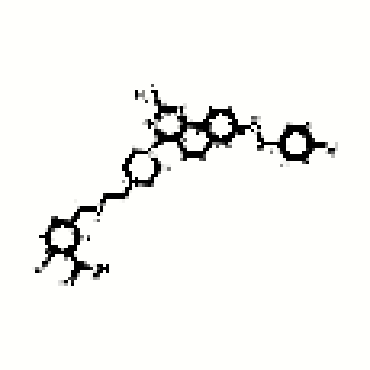 Nc1nc2c(c(N3CCN(CCOCc4ccc(F)c(C(=O)O)c4)CC3)n1)CCc1cc(OCc3ccc(Cl)cc3)ccc1-2